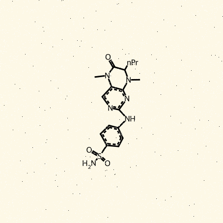 CCCC1C(=O)N(C)c2cnc(Nc3ccc(S(N)(=O)=O)cc3)nc2N1C